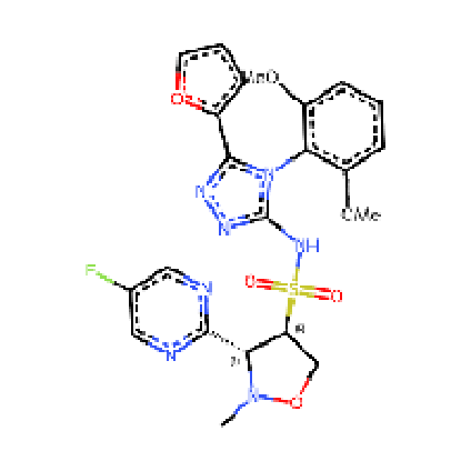 COc1cccc(OC)c1-n1c(NS(=O)(=O)[C@H]2CON(C)[C@@H]2c2ncc(F)cn2)nnc1-c1ccco1